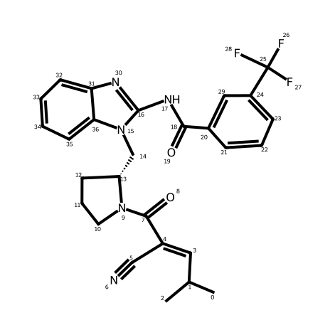 CC(C)C=C(C#N)C(=O)N1CCC[C@@H]1Cn1c(NC(=O)c2cccc(C(F)(F)F)c2)nc2ccccc21